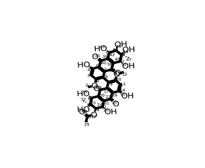 COc1cc(O)c2c(c1-c1c(OC)cc(O)c3c1C(=O)C1=C(C3=O)[C@H](O)[C@@H](OC(C)=O)[C@@](C)(O)[C@@H]1O)C(=O)C1=C(C2=O)[C@H](O)[C@@H](O)[C@@](C)(O)[C@@H]1O